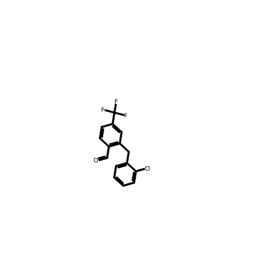 O=Cc1ccc(C(F)(F)F)cc1Cc1ccccc1Cl